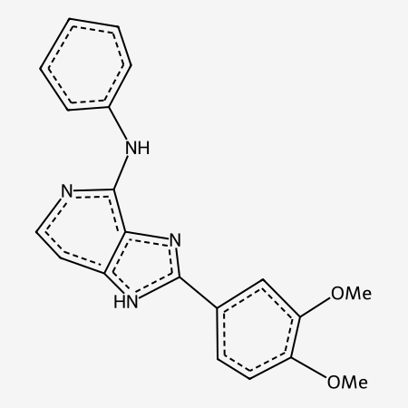 COc1ccc(-c2nc3c(Nc4ccccc4)nccc3[nH]2)cc1OC